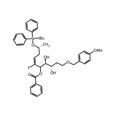 COc1ccc(COCC[C@H](O)[C@H](O)C(OC(=O)c2ccccc2)/C(F)=C\C[C@@H](C)O[Si](c2ccccc2)(c2ccccc2)C(C)(C)C)cc1